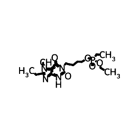 CCOP(=O)(CC)OCCCCn1c(=O)[nH]c2nc(CC)n(C)c2c1=O